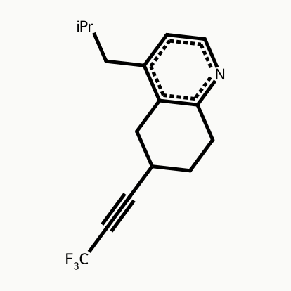 CC(C)Cc1ccnc2c1CC(C#CC(F)(F)F)CC2